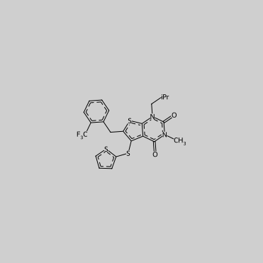 CC(C)Cn1c(=O)n(C)c(=O)c2c(Sc3cccs3)c(Cc3ccccc3C(F)(F)F)sc21